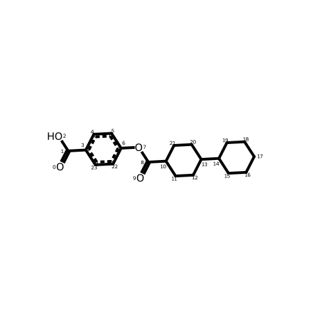 O=C(O)c1ccc(OC(=O)C2CCC(C3CCCCC3)CC2)cc1